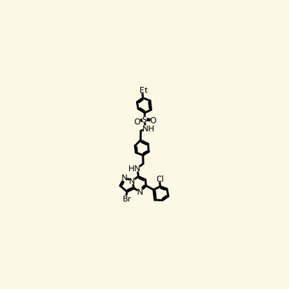 CCc1ccc(S(=O)(=O)NCc2ccc(CNc3cc(-c4ccccc4Cl)nc4c(Br)cnn34)cc2)cc1